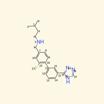 CC(C)CCNCc1ccc(-c2cccc(-c3nnc[nH]3)c2)c(F)c1